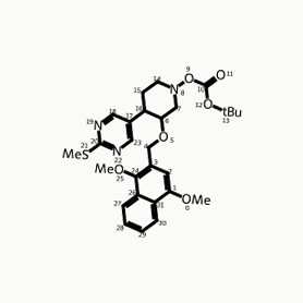 COc1cc(COC2CN(OC(=O)OC(C)(C)C)CCC2c2cnc(SC)nc2)c(OC)c2ccccc12